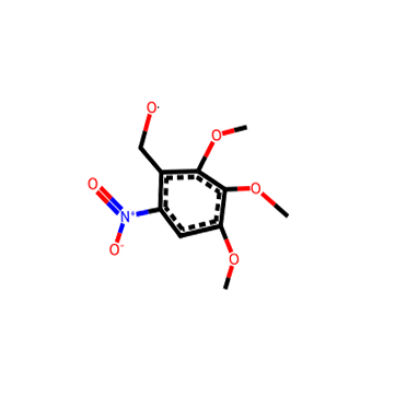 COc1cc([N+](=O)[O-])c(C[O])c(OC)c1OC